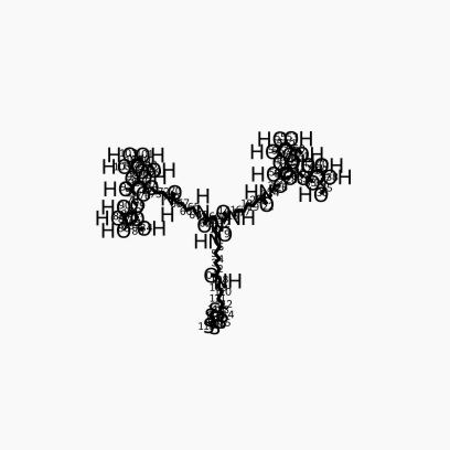 O=C(CCCCCNC(=O)CN(CC(=O)NCCCCCC(=O)NCCO[C@H]1O[C@H](CO[C@H]2O[C@H](CO)[C@@H](O)[C@H](O)[C@@H]2O)[C@@H](O)[C@H](O[C@H]2O[C@H](CO)[C@@H](O)[C@H](O)[C@@H]2O)[C@@H]1O)CC(=O)NCCCCCC(=O)NCCO[C@H]1O[C@H](CO[C@H]2O[C@H](CO)[C@@H](O)[C@H](O)[C@@H]2O)[C@@H](O)[C@H](O[C@H]2O[C@H](CO)[C@@H](O)[C@H](O)[C@@H]2O)[C@@H]1O)NCCCCC1SSC2(SS1)SS2